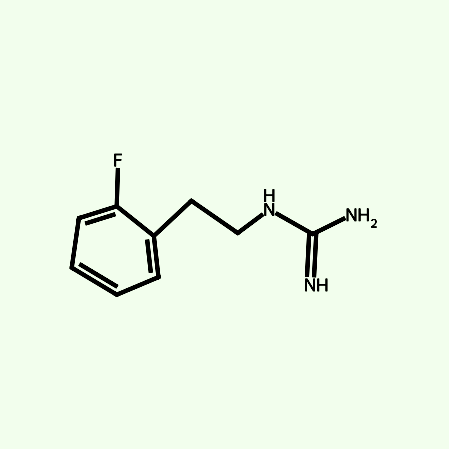 N=C(N)NCCc1ccccc1F